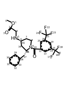 COC(=O)CN[C@H]1CCN(C(=O)c2cc(C(F)(F)F)cc(C(F)(F)F)c2)[C@H](Cc2ccccc2)C1